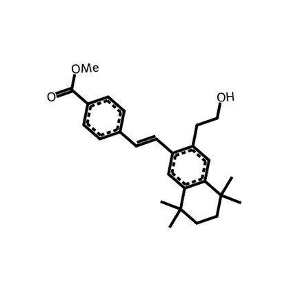 COC(=O)c1ccc(/C=C/c2cc3c(cc2CCO)C(C)(C)CCC3(C)C)cc1